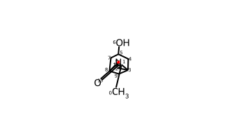 CC1CC23CC(O)CC(C2)N3CC1=O